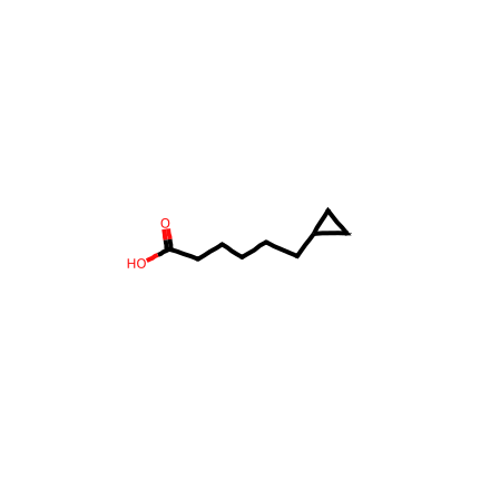 O=C(O)CCCCCC1[CH]C1